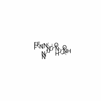 Cc1cc(C)c(CNC(=O)c2cc3cc(-c4cncn4C)cn3c(C(C)N3CCN(CC(F)(F)F)CC3)c2C)c(=O)[nH]1